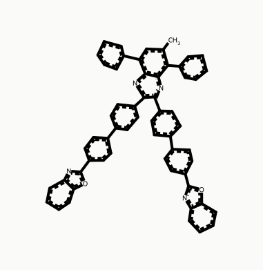 Cc1cc(-c2ccccc2)c2nc(-c3ccc(-c4ccc(-c5nc6ccccc6o5)cc4)cc3)c(-c3ccc(-c4ccc(-c5nc6ccccc6o5)cc4)cc3)nc2c1-c1ccccc1